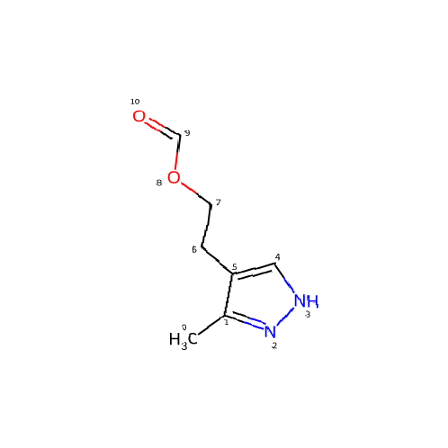 Cc1n[nH]cc1CCOC=O